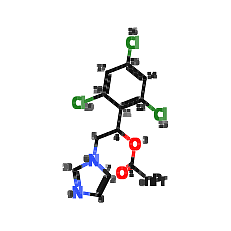 CCCC(=O)OC(Cn1ccnc1)c1c(Cl)cc(Cl)cc1Cl